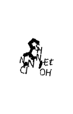 CC[C@H](CO)Nc1nc(Cl)ncc1-c1cccs1